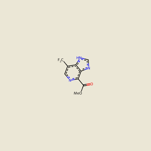 COC(=O)c1ncc(C(F)(F)F)c2[nH]cnc12